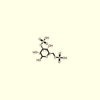 O=S(=O)(O)OC[C@H]1OC(O)[C@H](O)[C@@H](OS(=O)(=O)O)[C@@H]1O